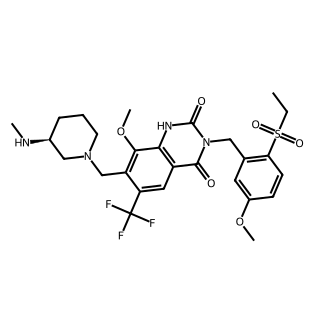 CCS(=O)(=O)c1ccc(OC)cc1Cn1c(=O)[nH]c2c(OC)c(CN3CCC[C@H](NC)C3)c(C(F)(F)F)cc2c1=O